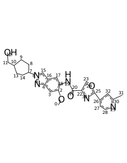 COc1cc2nn(C3CCC(CO)CC3)cc2cc1NC(=O)c1coc(-c2ccnc(C)c2)n1